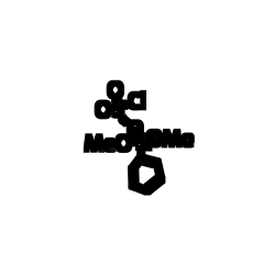 CO[Si](OC)(OCS(=O)(=O)Cl)c1ccccc1